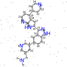 CN(C)Cc1cncc(-c2ccc3[nH]nc(-c4cc5c(-c6ccncc6)ccnc5[nH]4)c3c2)c1